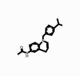 CC(=O)Nc1ccc2c(c1)CC=CN2Cc1ccc(C(C)C)cc1